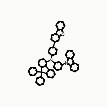 c1ccc(C2(c3ccccc3)c3ccccc3-c3c(N(c4ccc(-c5ccc6c(c5)sc5ccccc56)cc4)c4cccc(-n5c6ccccc6c6ccccc65)c4)cccc32)cc1